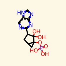 O=P(O)(O)OC12CC1CC(c1ncc3[nH]cnc3n1)C2(O)O